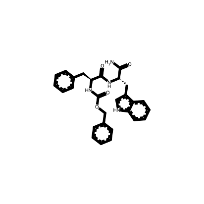 NC(=O)[C@H](Cc1c[nH]c2ccccc12)NC(=O)[C@H](Cc1ccccc1)NC(=O)OCc1ccccc1